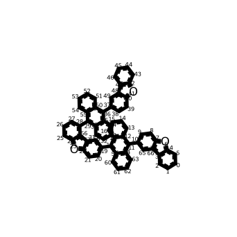 c1ccc2c(c1)oc1ccc(-c3c4ccccc4c(-c4ccc5oc6cccc(-c7c8ccccc8c(-c8ccc9oc%10ccccc%10c9c8)c8ccccc78)c6c5c4)c4ccccc34)cc12